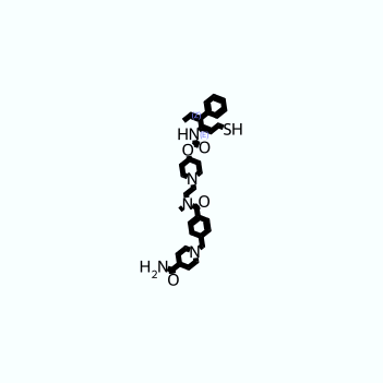 C/C=C(\C(=C/CS)NC(=O)OC1CCN(CCN(C)C(=O)C2=CCC(CN3CCC(C(N)=O)CC3)C=C2)CC1)c1ccccc1